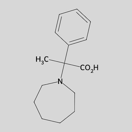 CC(C(=O)O)(c1ccccc1)N1CCCCCC1